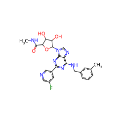 CNC(=O)C1OC(n2cnc3c(NCc4cccc(C)c4)nc(-c4cncc(F)c4)nc32)C(O)C1O